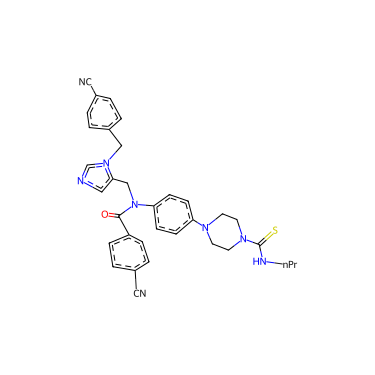 CCCNC(=S)N1CCN(c2ccc(N(Cc3cncn3Cc3ccc(C#N)cc3)C(=O)c3ccc(C#N)cc3)cc2)CC1